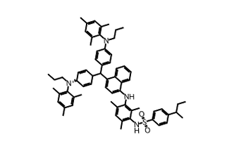 CCCN(c1ccc(C(c2ccc(Nc3c(C)cc(C)c(NS(=O)(=O)c4ccc(C(C)CC)cc4)c3C)c3ccccc23)C2C=CC(=[N+](CCC)c3c(C)cc(C)cc3C)C=C2)cc1)c1c(C)cc(C)cc1C